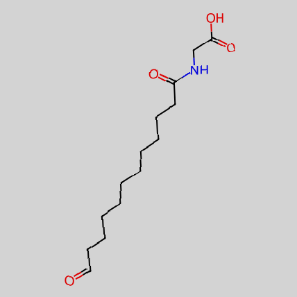 O=CCCCCCCCCCCC(=O)NCC(=O)O